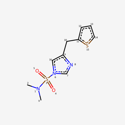 CN(C)S(=O)(=O)n1cnc(Cc2cccs2)c1